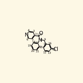 O=C(c1ccncc1)N(Cc1cccc(Cl)c1)c1ccccc1